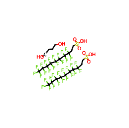 O=S(=O)(O)CCC(F)(F)C(F)(F)C(F)(F)C(F)(F)C(F)(F)C(F)(F)C(F)(F)C(F)(F)F.O=S(=O)(O)CCC(F)(F)C(F)(F)C(F)(F)C(F)(F)C(F)(F)C(F)(F)C(F)(F)C(F)(F)F.OCCCCO